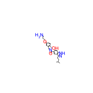 CC(C)CCc1n[nH]c2cc(O)c(C(=O)N3Cc4ccc(OCCCN)cc4C3)cc12